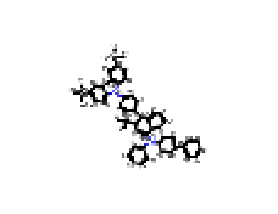 CC1(C)c2cc(-n3c4ccc([Si](C)(C)C)cc4c4cc([Si](C)(C)C)ccc43)ccc2-c2c1cc(N(c1ccccc1)c1ccc(-c3ccccc3)cc1)c1ccccc21